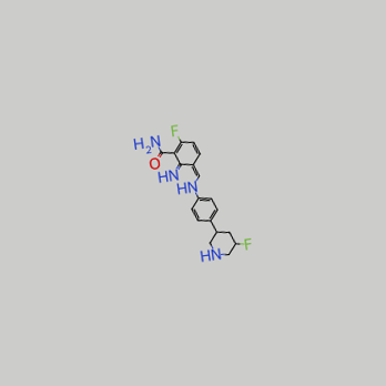 N=C1C(C(N)=O)=C(F)C=C/C1=C/Nc1ccc(C2CNCC(F)C2)cc1